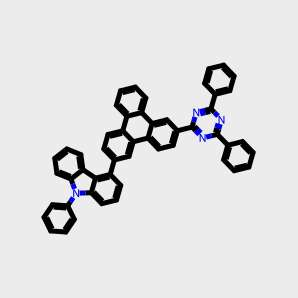 c1ccc(-c2nc(-c3ccccc3)nc(-c3ccc4c(c3)c3ccccc3c3ccc(-c5cccc6c5c5ccccc5n6-c5ccccc5)cc34)n2)cc1